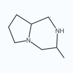 CC1CN2CCCC2[CH]N1